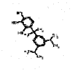 CC(C)c1cc(C(C)C)cc(C(C)(C)c2ccc(O)c(O)c2O)c1